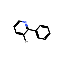 [Pd][c]1cccnc1-c1ccccc1